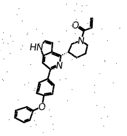 C=CC(=O)N1CCC[C@H](c2nc(-c3ccc(Oc4ccccc4)cc3)cc3[nH]ccc23)C1